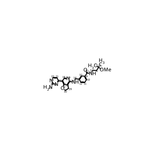 COC(C)(C)CCNC(=O)c1cccc(CNc2ncc(-c3ccnc(N)n3)c3c2CCO3)c1